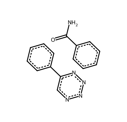 NC(=O)c1ccccc1.c1ccc(-c2cnnnn2)cc1